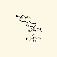 CC(C)(O)CCC(C)(C)[C@H]1CCC2C3CC=C4C[C@@H](O)CC[C@]4(C)C3CC[C@@]21C